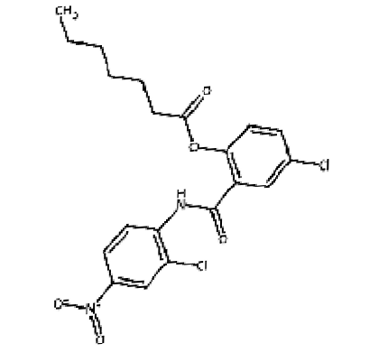 CCCCCCC(=O)Oc1ccc(Cl)cc1C(=O)Nc1ccc([N+](=O)[O-])cc1Cl